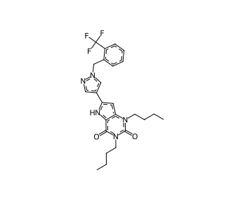 CCCCn1c(=O)c2[nH]c(-c3cnn(Cc4ccccc4C(F)(F)F)c3)cc2n(CCCC)c1=O